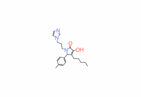 CCCCCC1=C(O)C(=O)N(CCCn2ccnc2)C1c1ccc(C)cc1